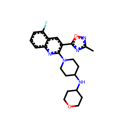 Cc1noc(-c2cc3c(F)cccc3nc2N2CCC(NC3CCOCC3)CC2)n1